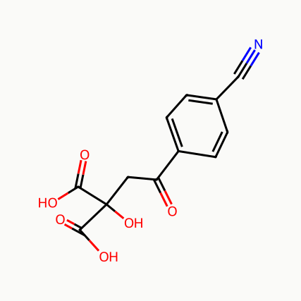 N#Cc1ccc(C(=O)CC(O)(C(=O)O)C(=O)O)cc1